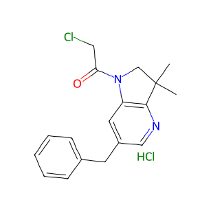 CC1(C)CN(C(=O)CCl)c2cc(Cc3ccccc3)cnc21.Cl